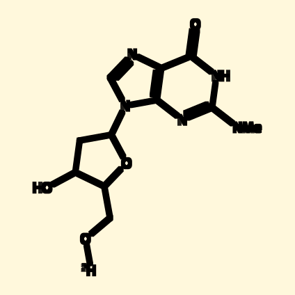 [2H]OCC1OC(n2cnc3c(=O)[nH]c(NC)nc32)CC1O